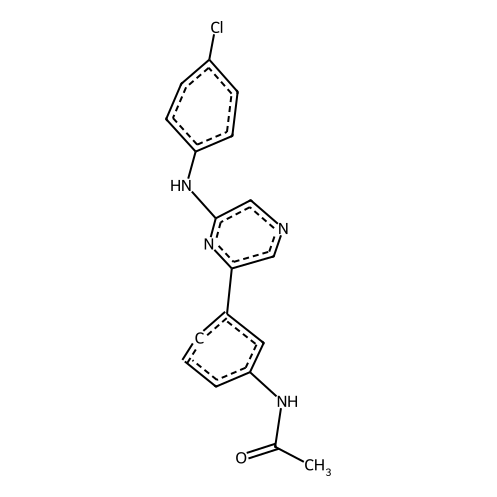 CC(=O)Nc1cccc(-c2cncc(Nc3ccc(Cl)cc3)n2)c1